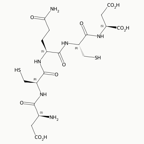 NC(=O)CC[C@H](NC(=O)[C@H](CS)NC(=O)[C@@H](N)CC(=O)O)C(=O)N[C@@H](CS)C(=O)N[C@@H](CC(=O)O)C(=O)O